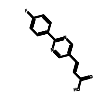 O=C(O)C=Cc1cnc(-c2ccc(F)cc2)nc1